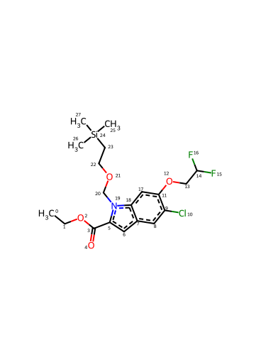 CCOC(=O)c1cc2cc(Cl)c(OCC(F)F)cc2n1COCC[Si](C)(C)C